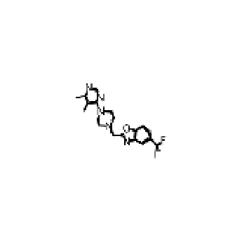 Cc1ncnc(N2CCN(Cc3nc4cc(C(F)F)ccc4o3)CC2)c1C